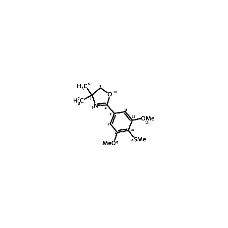 COc1cc(C2=NC(C)(C)CO2)cc(OC)c1SC